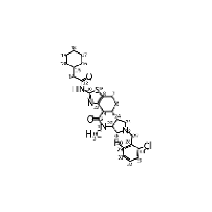 CN(C(=O)C1CCCc2sc(NC(=O)CC3CCCCC3)nc21)C1CCN(Cc2c(F)cccc2Cl)C1